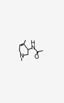 CC(=O)NC1CN(C)CC=C1C